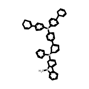 CN1c2ccccc2C2=CC=C(N(c3ccccc3)C3C=CC=C(c4ccc(N(c5ccc(C6=CCCC=C6)cc5)c5ccc(C6C=CC=CC6)cc5)cc4)C3)CC21